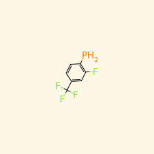 Fc1cc(C(F)(F)F)ccc1P